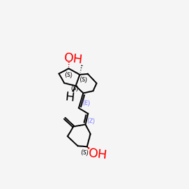 C=C1CC[C@H](O)C/C1=C/C=C1\CCC[C@]2(C)[C@@H](O)CC[C@@H]12